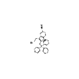 CCc1c(C[P+](c2ccccc2)(c2ccccc2)c2ccccc2)[nH]c2ccc(C#N)cc12.[Br-]